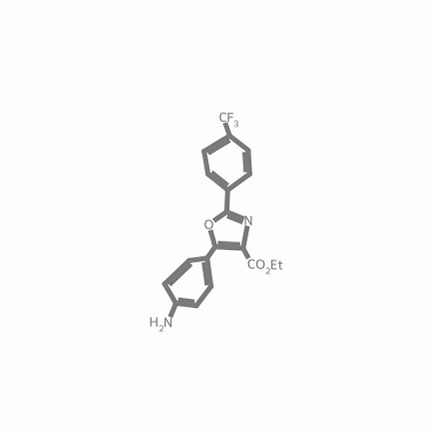 CCOC(=O)c1nc(-c2ccc(C(F)(F)F)cc2)oc1-c1ccc(N)cc1